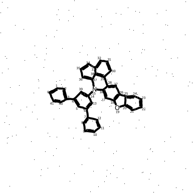 c1ccc(-c2cc(-c3ccccc3)cc(N3c4cc5oc6ccccc6c5cc4-c4cccc5cccc3c45)c2)cc1